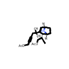 CC(=O)OCC#CCC(C#N)(C#N)C1=C[C@H]2CC[C@H](N2)[C@@H]1C(C)COC(C)=O